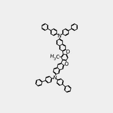 Cc1c2c(cc3oc4cc5cc(N(c6ccc(-c7ccccc7)cc6)c6ccc(-c7ccccc7)cc6)ccc5cc4c13)oc1cc3cc(N(c4ccc(-c5ccccc5)cc4)c4ccc(-c5ccccc5)cc4)ccc3cc12